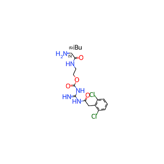 CC[C@H](C)[C@H](N)C(=O)NCCOC(=O)NC(=N)NC(=O)Cc1c(Cl)cccc1Cl